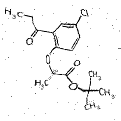 CCC(=O)c1cc(Cl)ccc1O[C@@H](C)C(=O)OC(C)(C)C